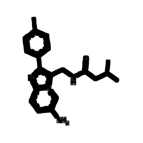 Cc1ccc(-c2nc3ccc(N)cn3c2CNC(=O)CC(C)C)cc1